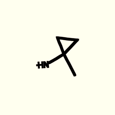 CC1([NH])CC1